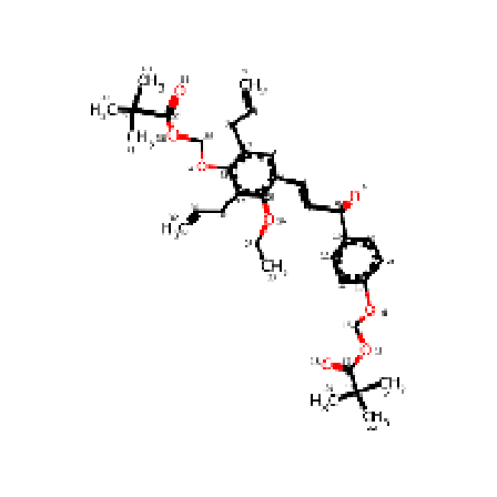 C=CCc1cc(C=CC(=O)c2ccc(OCOC(=O)C(C)(C)C)cc2)c(OCC)c(CC=C)c1OCOC(=O)C(C)(C)C